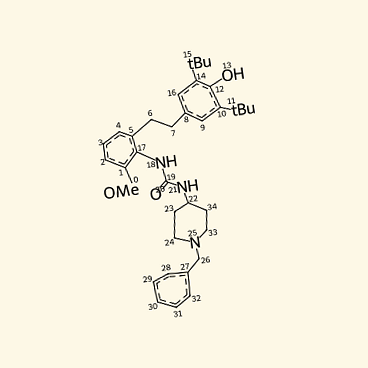 COc1cccc(CCc2cc(C(C)(C)C)c(O)c(C(C)(C)C)c2)c1NC(=O)NC1CCN(Cc2ccccc2)CC1